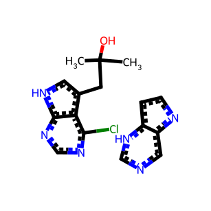 CC(C)(O)Cc1c[nH]c2ncnc(Cl)c12.c1cc2[nH]cncc-2n1